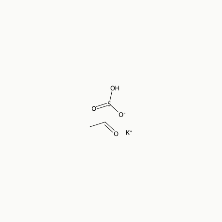 CC=O.O=S([O-])O.[K+]